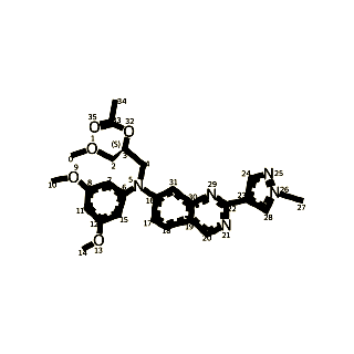 COC[C@H](CN(c1cc(OC)cc(OC)c1)c1ccc2cnc(-c3cnn(C)c3)nc2c1)OC(C)=O